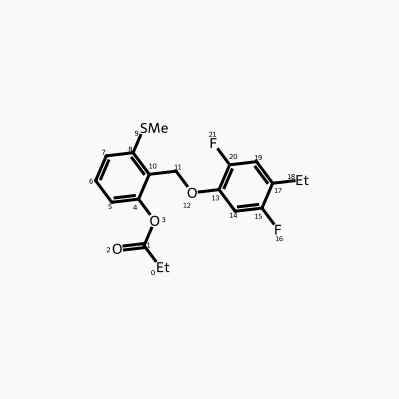 CCC(=O)Oc1cccc(SC)c1COc1cc(F)c(CC)cc1F